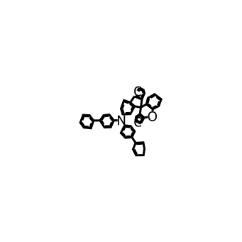 C1=CC(c2ccc(N(c3ccc(-c4ccccc4)cc3)c3ccc4c(c3)C3(c5ccccc5Oc5ccccc53)c3ccccc3-4)cc2)=CCC1